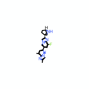 Cc1cn2nc(-c3cc(F)c4nc([C@@]56CC[C@H](C5)NC6)cn4c3)cc(C)c2n1